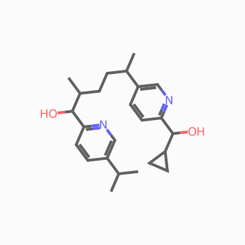 CC(C)c1ccc(C(O)C(C)CCC(C)c2ccc(C(O)C3CC3)nc2)nc1